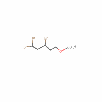 O=C(O)OCCC(Br)CC(Br)Br